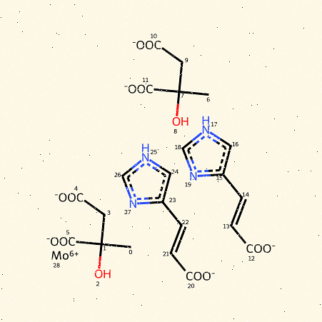 CC(O)(CC(=O)[O-])C(=O)[O-].CC(O)(CC(=O)[O-])C(=O)[O-].O=C([O-])C=Cc1c[nH]cn1.O=C([O-])C=Cc1c[nH]cn1.[Mo+6]